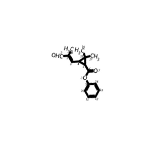 C/C(C=O)=C\C1C(C(=O)Oc2ccccc2)C1(C)C